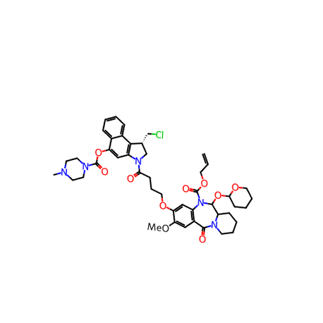 C=CCOC(=O)N1c2cc(OCCCC(=O)N3C[C@@H](CCl)c4c3cc(OC(=O)N3CCN(C)CC3)c3ccccc43)c(OC)cc2C(=O)N2CCCCC2C1OC1CCCCO1